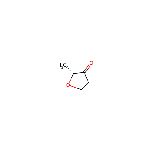 C[C@H]1OCCC1=O